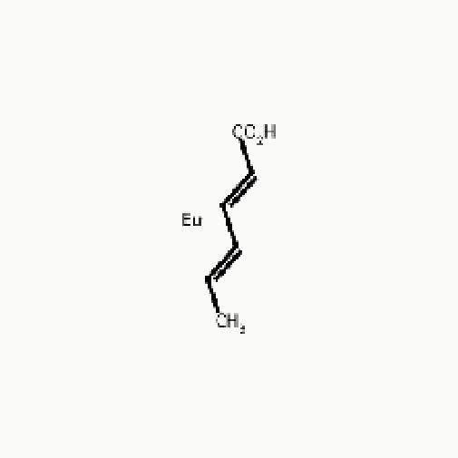 CC=CC=CC(=O)O.[Eu]